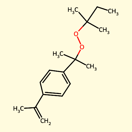 C=C(C)c1ccc(C(C)(C)OOC(C)(C)CC)cc1